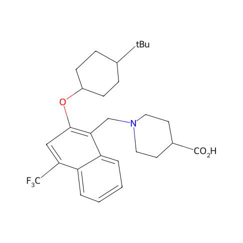 CC(C)(C)C1CCC(Oc2cc(C(F)(F)F)c3ccccc3c2CN2CCC(C(=O)O)CC2)CC1